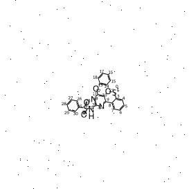 C[S+]([O-])c1ccccc1-c1cc(Oc2ccccc2)nc(NS(=O)(=O)c2ccccc2)n1